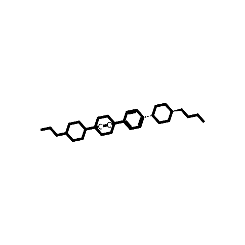 CCCC[C@H]1CC[C@H](c2ccc(C34CCC(C5CCC(CCC)CC5)(CC3)CC4)cc2)CC1